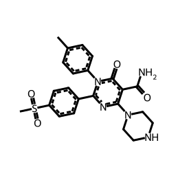 Cc1ccc(-n2c(-c3ccc(S(C)(=O)=O)cc3)nc(N3CCNCC3)c(C(N)=O)c2=O)cc1